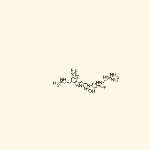 C[C@H](N)CCCc1cc(SC(F)(F)F)c(F)c(-c2cc3c([nH]2)=NC(O)N(c2ccc([C@H](CF)NCCCNC(=N)N)cc2)C=3)c1